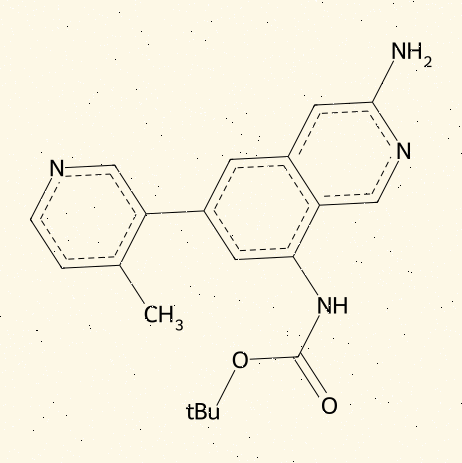 Cc1ccncc1-c1cc(NC(=O)OC(C)(C)C)c2cnc(N)cc2c1